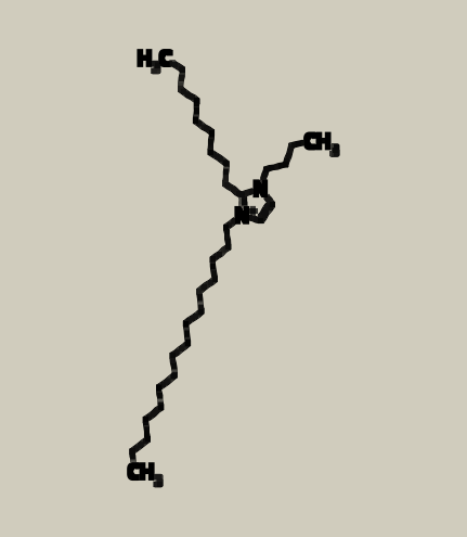 CCCCCCCCCCCCCCCC[n+]1ccn(CCCC)c1CCCCCCCCC